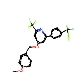 COc1ccc(COc2cc(-c3ccc(C(F)(F)F)cc3)nc(C(F)(F)F)c2)cc1